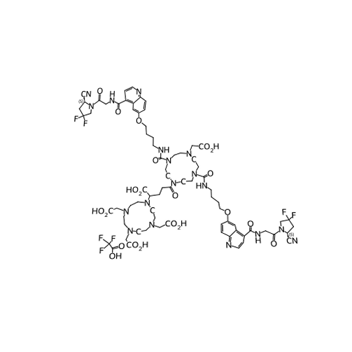 N#C[C@@H]1CC(F)(F)CN1C(=O)CNC(=O)c1ccnc2ccc(OCCCCNC(=O)N3CCN(CC(=O)O)CCN(C(=O)NCCCCOc4ccc5nccc(C(=O)NCC(=O)N6CC(F)(F)C[C@H]6C#N)c5c4)CCN(C(=O)CCC(C(=O)O)N4CCN(CC(=O)O)CCN(CC(=O)O)CCN(CC(=O)O)CC4)CC3)cc12.O=C(O)C(F)(F)F